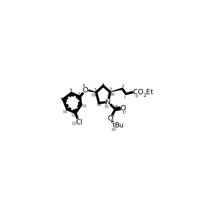 CCOC(=O)CC[C@@H]1C[C@H](Oc2cccc(Cl)c2)CN1C(=O)OC(C)(C)C